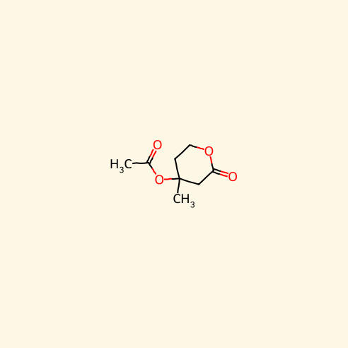 CC(=O)OC1(C)CCOC(=O)C1